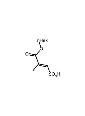 CCCCCCOC(=O)C(C)=CS(=O)(=O)O